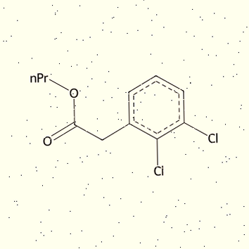 CCCOC(=O)Cc1cccc(Cl)c1Cl